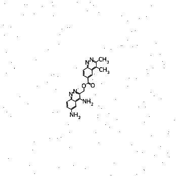 Cc1nnc2ccc(C(=O)OCc3nnc4ccc(N)cc4c3N)cc2c1C